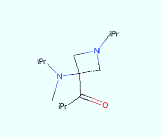 CC(C)C(=O)C1(N(C)C(C)C)CN(C(C)C)C1